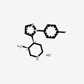 C[C@@H]1CNCC[C@@H]1c1ccnn1-c1ccc(F)cc1.Cl